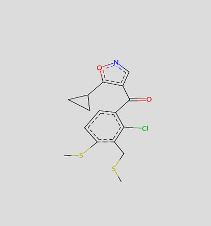 CSCc1c(SC)ccc(C(=O)c2cnoc2C2CC2)c1Cl